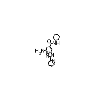 Nc1cc(C(=O)NC2CCCCC2)cc2nc(-c3ccccn3)nn12